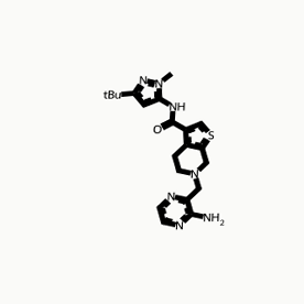 Cn1nc(C(C)(C)C)cc1NC(=O)c1csc2c1CCN(Cc1nccnc1N)C2